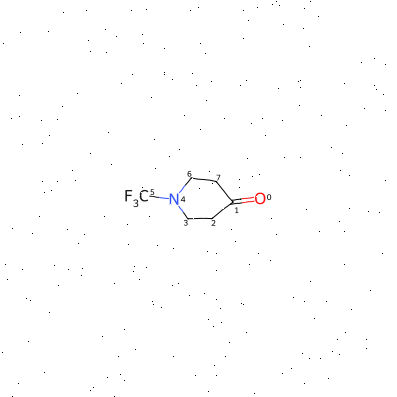 O=C1CCN(C(F)(F)F)CC1